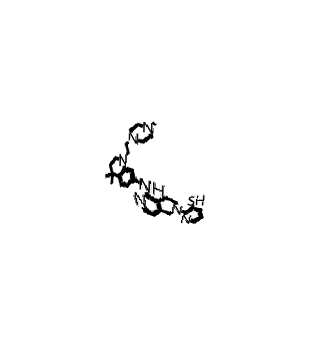 CN1CCN(CCN2CCC(C)(C)c3ccc(Nc4nccc5c4CCN(c4ncccc4S)C5)cc32)CC1